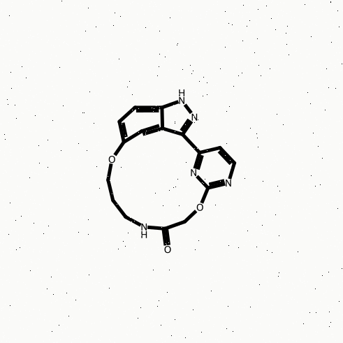 O=C1COc2nccc(n2)-c2n[nH]c3ccc(cc23)OCCCN1